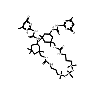 Cc1cc(=O)nc(NC(=O)NC2CC(C)(C)CC(C)(CNC(=O)NCCC[Si](C)(C)O[Si](C)(C)O[Si](C)(C)CCCNC(=O)NCC3(C)CC(NC(=O)Nc4nc(=O)cc(C)[nH]4)CC(C)(C)C3)C2)[nH]1